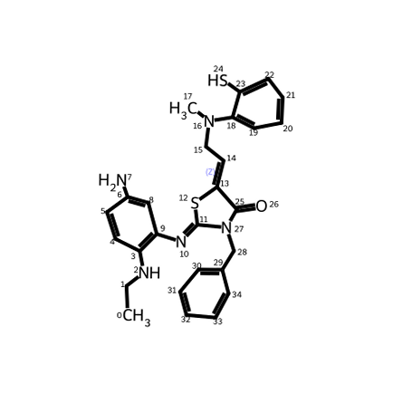 CCNc1ccc(N)cc1N=C1S/C(=C\CN(C)c2ccccc2S)C(=O)N1Cc1ccccc1